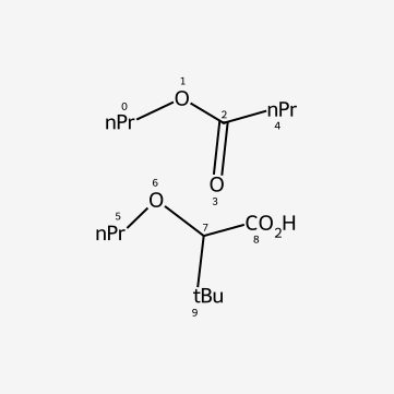 CCCOC(=O)CCC.CCCOC(C(=O)O)C(C)(C)C